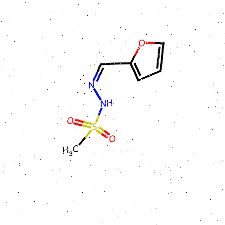 CS(=O)(=O)N/N=C\c1ccco1